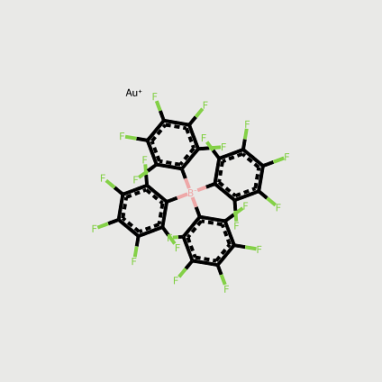 Fc1c(F)c(F)c([B-](c2c(F)c(F)c(F)c(F)c2F)(c2c(F)c(F)c(F)c(F)c2F)c2c(F)c(F)c(F)c(F)c2F)c(F)c1F.[Au+]